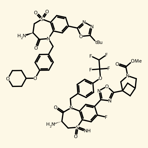 CC(C)(C)c1nnc(-c2ccc3c(c2)N(Cc2ccc(OC4CCOCC4)cc2)C(=O)[C@@H](N)CS3(=O)=O)o1.COC(=O)N1CC2CC(c3nc(-c4cc5c(cc4F)S(=N)(=O)C[C@H](N)C(=O)N5Cc4ccc(OC(F)(F)C(F)F)cc4)no3)(C2)C1